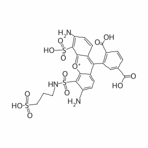 Nc1ccc2c(-c3cc(C(=O)O)ccc3C(=O)O)c3ccc(N)c(S(=O)(=O)NCCCS(=O)(=O)O)c3[o+]c2c1S(=O)(=O)O